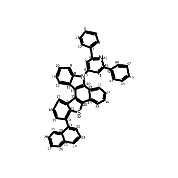 c1ccc(-c2cc(-n3c4ccccc4c4c5c6cccc(-c7cccc8ccccc78)c6sc5c5ccccc5c43)cc(-c3ccccc3)n2)cc1